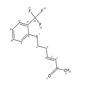 CC(=O)/C=C/CCSc1ccccc1C(F)(F)F